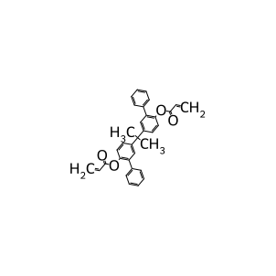 C=CC(=O)Oc1ccc(C(C)(C)c2ccc(OC(=O)C=C)c(-c3ccccc3)c2)cc1-c1ccccc1